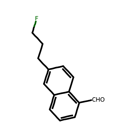 O=Cc1cccc2cc(CCCF)ccc12